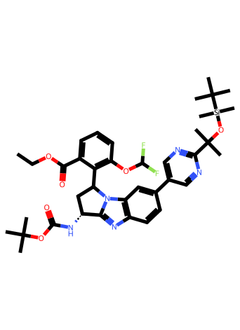 CCOC(=O)c1cccc(OC(F)F)c1C1C[C@@H](NC(=O)OC(C)(C)C)c2nc3ccc(-c4cnc(C(C)(C)O[Si](C)(C)C(C)(C)C)nc4)cc3n21